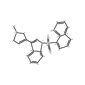 CN1CC=C(c2cn(S(=O)(=O)c3cccc4cccnc34)c3ccccc23)C1